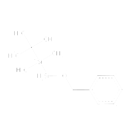 CC(C)(C)[Si](C)(C)[SiH2]OCc1ccccc1